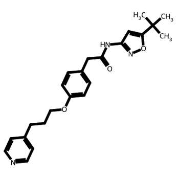 CC(C)(C)c1cc(NC(=O)Cc2ccc(OCCCc3ccncc3)cc2)no1